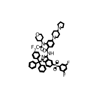 O=C(Nc1nn(C(c2ccccc2)(c2ccccc2)c2ccccc2)c2ccc(S(=O)(=O)c3cc(F)cc(F)c3)cc12)c1ccc(N2CCC(N3CCCC3)CC2)cc1N(C(=O)C(F)(F)F)C1CCOCC1